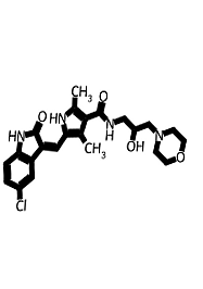 Cc1[nH]c(/C=C2\C(=O)Nc3ccc(Cl)cc32)c(C)c1C(=O)NCC(O)CN1CCOCC1